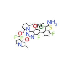 C[C@H]1CN2CCC[C@@]2(COc2nc3c4c(c(Cl)c(-c5ccc(F)c6sc(N)c(C#N)c56)c(F)c4n2)OCC2CCCC(COC(F)F)N32)C1